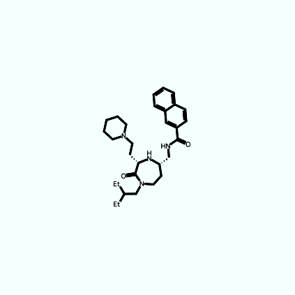 CCC(CC)CN1CC[C@@H](CNC(=O)c2ccc3ccccc3c2)N[C@@H](CCN2CCCCC2)C1=O